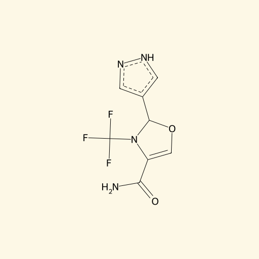 NC(=O)C1=COC(c2cn[nH]c2)N1C(F)(F)F